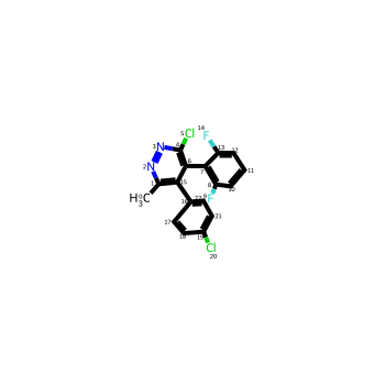 Cc1nnc(Cl)c(-c2c(F)cccc2F)c1-c1ccc(Cl)cc1